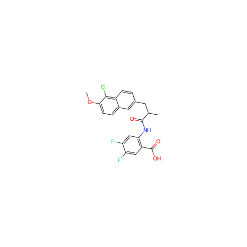 COc1ccc2cc(CC(C)C(=O)Nc3cc(F)c(F)cc3C(=O)O)ccc2c1Cl